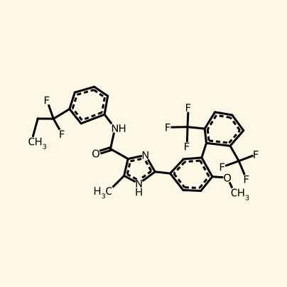 CCC(F)(F)c1cccc(NC(=O)c2nc(-c3ccc(OC)c(-c4c(C(F)(F)F)cccc4C(F)(F)F)c3)[nH]c2C)c1